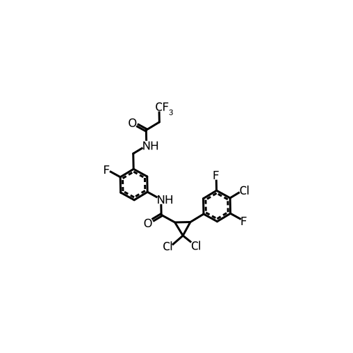 O=C(CC(F)(F)F)NCc1cc(NC(=O)C2C(c3cc(F)c(Cl)c(F)c3)C2(Cl)Cl)ccc1F